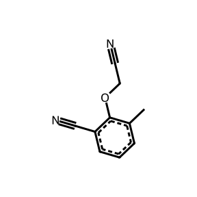 Cc1cccc(C#N)c1OCC#N